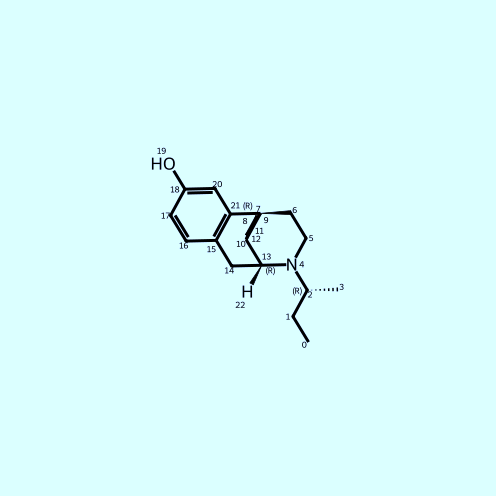 CC[C@@H](C)N1CC[C@]23CCCCC2[C@H]1Cc1ccc(O)cc13